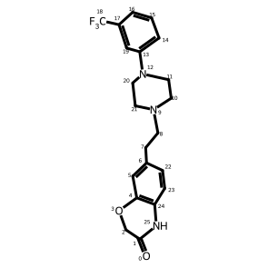 O=C1COc2cc(CCN3CCN(c4cccc(C(F)(F)F)c4)CC3)ccc2N1